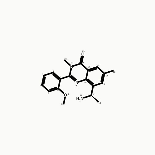 COc1ccccc1-c1nc2c([C@@H](C)N)cc(C)cc2c(=O)n1C